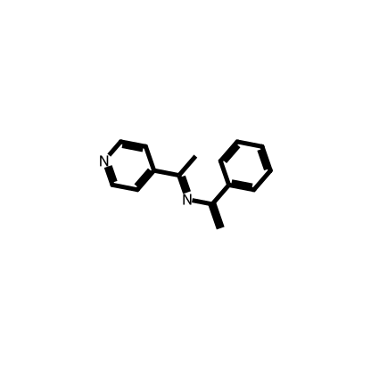 C=C(/N=C(\C)c1ccncc1)c1ccccc1